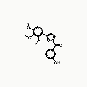 COc1ccc(-c2ccc(C(=O)c3cccc(O)c3)s2)c(OC)c1OC